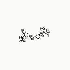 CCOc1ccc(-c2nc(-c3ccc4oc(C(N)(CO)CO)cc4c3)no2)cc1N[SH](=O)=O